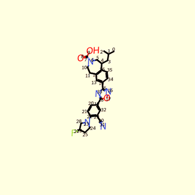 CC(C)CC1CN(C(=O)O)CCc2cc(-c3noc(-c4ccc(N5CCC(F)C5)c(C#N)c4)n3)ccc21